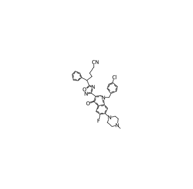 CN1CCN(c2cc3c(cc2F)c(=O)c(-c2noc(C(CCCC#N)c4ccccc4)n2)cn3Cc2ccc(Cl)cc2)CC1